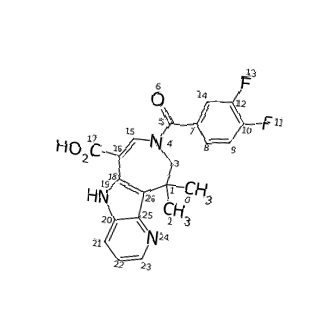 CC1(C)CN(C(=O)c2ccc(F)c(F)c2)C=C(C(=O)O)c2[nH]c3cccnc3c21